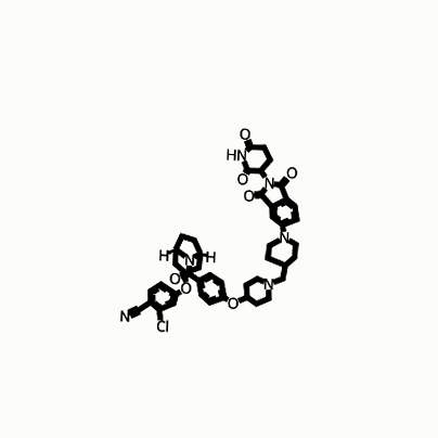 N#Cc1ccc(OC2C[C@H]3CC[C@@H](C2)N3C(=O)c2ccc(OC3CCN(CC4CCN(c5ccc6c(c5)C(=O)N(C5CCC(=O)NC5=O)C6=O)CC4)CC3)cc2)cc1Cl